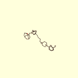 Fc1cccc(N2CCN(CCCCc3cn(CC45CC6CC(CC(C6)C4)C5)nn3)CC2)n1